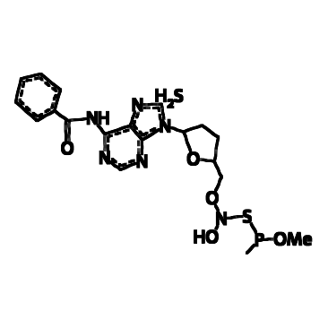 COP(C)SN(O)OCC1CCC(n2cnc3c(NC(=O)c4ccccc4)ncnc32)O1.S